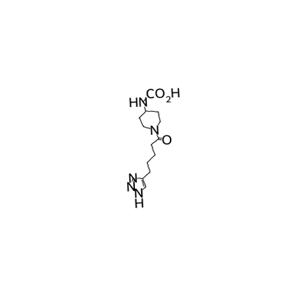 O=C(O)NC1CCN(C(=O)CCCCc2c[nH]nn2)CC1